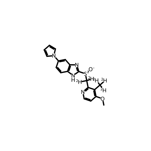 [2H]C([2H])([2H])c1c(OC)ccnc1C([2H])([2H])[S+]([O-])c1nc2cc(-n3cccc3)ccc2[nH]1